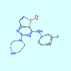 [O-][S+]1CCc2nc(N3CCNCC3)nc(Nc3cccc(F)c3)c21